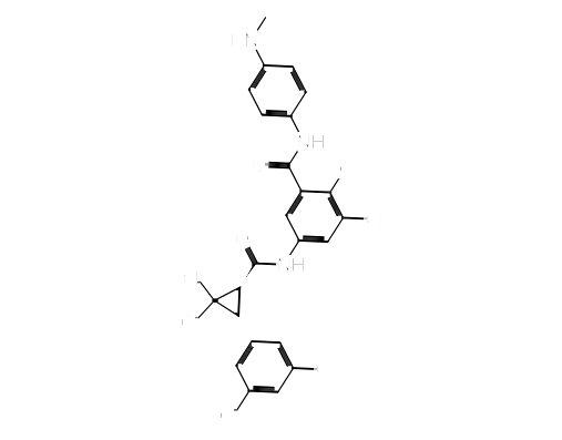 CNc1ccc(NC(=O)c2cc(NC(=O)[C@H]3[C@H](c4cc(Cl)cc(Cl)c4)C3(Cl)Cl)cc(Cl)c2Cl)cc1